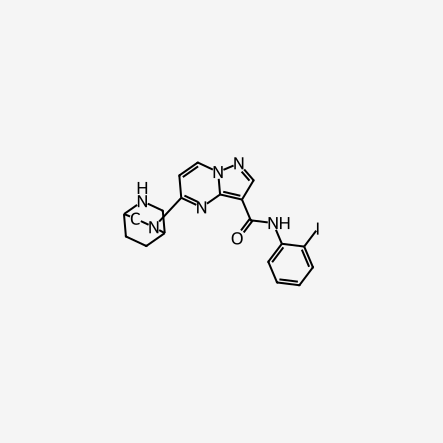 O=C(Nc1ccccc1I)c1cnn2ccc(N3CC4CCC3CN4)nc12